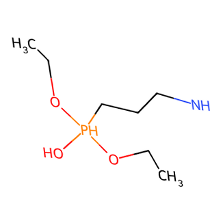 CCO[PH](O)(CCCN)OCC